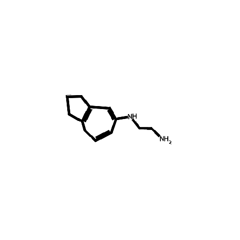 NCCNC1=CC2=C(CC=C1)CCC2